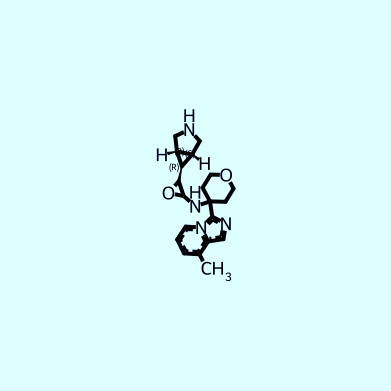 Cc1cccn2c(C3(NC4OC4[C@H]4[C@@H]5CNC[C@@H]54)CCOCC3)ncc12